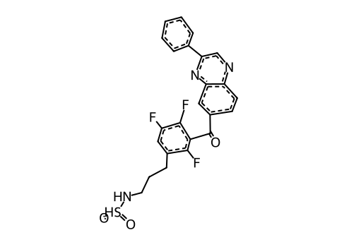 O=C(c1ccc2ncc(-c3ccccc3)nc2c1)c1c(F)c(F)cc(CCCN[SH](=O)=O)c1F